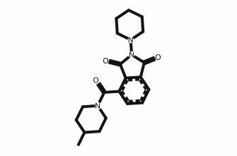 CC1CCN(C(=O)c2cccc3c2C(=O)N(N2CCCCC2)C3=O)CC1